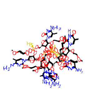 CCCCC[C@H]1O[C@@H](n2cc(C)c(N)nc2=O)C[C@H]1OP(=O)(S)OC[C@H]1O[C@@H](n2cc(C)c(=O)[nH]c2=O)[C@@H](OCCOC)C1OP(=O)(O)OC[C@H]1OC(n2cc(C)c(N)nc2=O)[C@@H](OCCOC)C1OP(=O)(O)OC[C@H]1O[C@@H](n2cc(C)c(N)nc2=O)[C@@H](OCCOC)C1OP(=O)(S)OC[C@H]1O[C@@H](n2cc(C)c(N)nc2=O)[C@@H](OCCOC)C1OP(=O)(S)OC[C@H]1O[C@@H](n2cnc3c(N)ncnc32)[C@@H](OCCOC)C1O